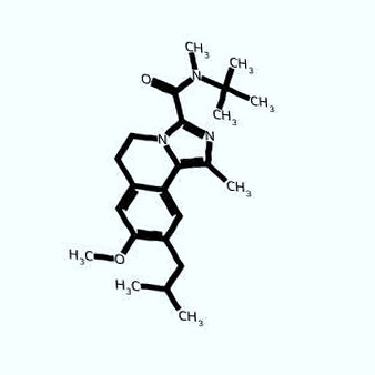 COc1cc2c(cc1CC(C)C)-c1c(C)nc(C(=O)N(C)C(C)(C)C)n1CC2